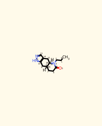 CCCN1C(=O)CC[C@@H]2Cc3[nH]ncc3C[C@H]21